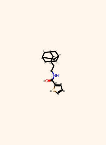 O=C(NCCC12CC3CC(CC(C3)C1)C2)c1cccs1